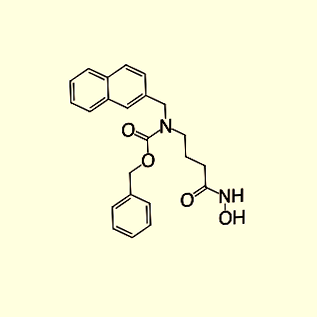 O=C(CCCN(Cc1ccc2ccccc2c1)C(=O)OCc1ccccc1)NO